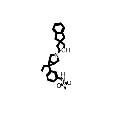 CCC1(c2cccc(NS(C)(=O)=O)c2)C2CN(CCC3(CO)Cc4ccccc4C3)CC21